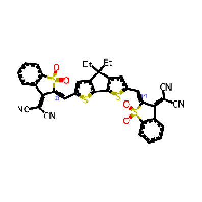 CCC1(CC)c2cc(/C=C3/C(=C(C#N)C#N)c4ccccc4S3(=O)=O)sc2-c2sc(/C=C3/C(=C(C#N)C#N)c4ccccc4S3(=O)=O)cc21